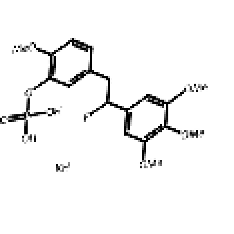 COc1ccc(CC(F)c2cc(OC)c(OC)c(OC)c2)cc1OP(=O)(O)O.[KH]